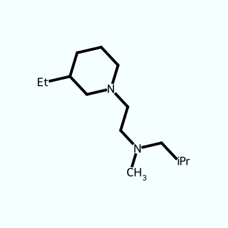 CCC1CCCN(CCN(C)CC(C)C)C1